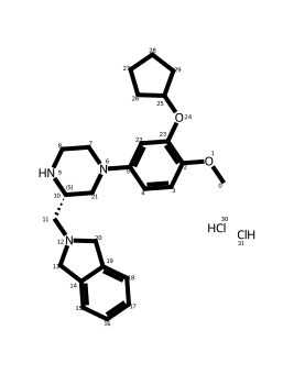 COc1ccc(N2CCN[C@@H](CN3Cc4ccccc4C3)C2)cc1OC1CCCC1.Cl.Cl